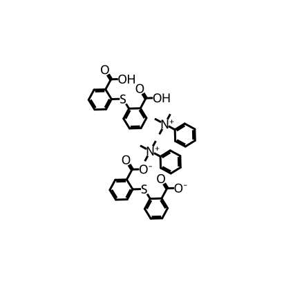 C[N+](C)(C)c1ccccc1.C[N+](C)(C)c1ccccc1.O=C(O)c1ccccc1Sc1ccccc1C(=O)O.O=C([O-])c1ccccc1Sc1ccccc1C(=O)[O-]